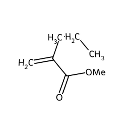 C=C(C)C(=O)OC.[CH2]C